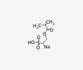 C=C(C)C(=O)OC[CH]([Na])S(=O)(=O)O